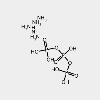 N.N.N.N.N.O=P(O)(O)OP(=O)(O)OP(=O)(O)O